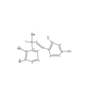 CC(O)(C=Cc1ccc(Cl)cc1F)c1cccc(Br)c1O